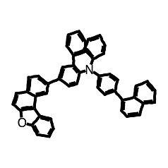 c1ccc(-c2cc(-c3ccc4ccc5oc6ccccc6c5c4c3)ccc2N(c2ccccc2)c2ccc(-c3cccc4ccccc34)cc2)cc1